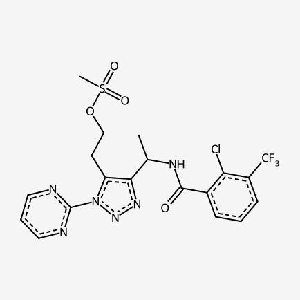 CC(NC(=O)c1cccc(C(F)(F)F)c1Cl)c1nnn(-c2ncccn2)c1CCOS(C)(=O)=O